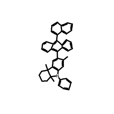 Cc1cc2c(cc1-c1c3ccccc3c(-c3cccc4ccccc34)c3ccccc13)C1(C)CCCCC1(C)N2c1ccccc1